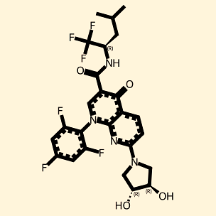 CC(C)C[C@@H](NC(=O)c1cn(-c2c(F)cc(F)cc2F)c2nc(N3C[C@@H](O)[C@H](O)C3)ccc2c1=O)C(F)(F)F